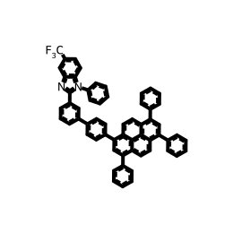 FC(F)(F)c1ccc2c(c1)nc(-c1cccc(-c3ccc(-c4cc(-c5ccccc5)c5ccc6c(-c7ccccc7)cc(-c7ccccc7)c7ccc4c5c67)cc3)c1)n2-c1ccccc1